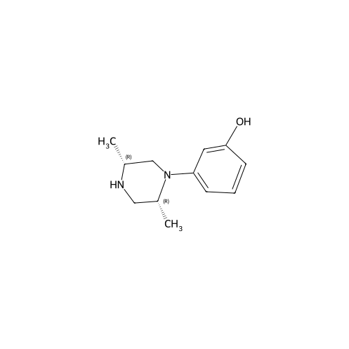 C[C@@H]1CN(c2cccc(O)c2)[C@H](C)CN1